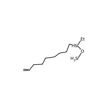 C=CCCCCCCC[SiH](CC)O[SiH3]